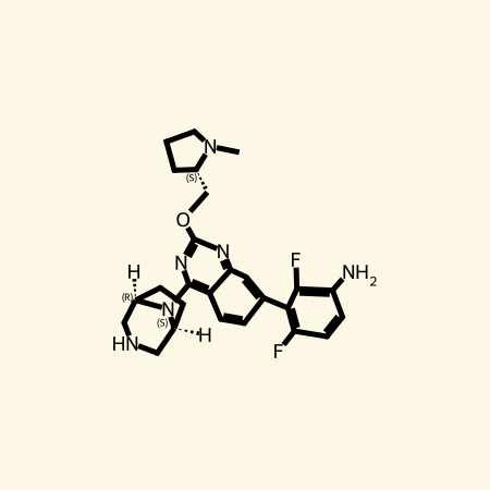 CN1CCC[C@H]1COc1nc(N2[C@@H]3CC[C@H]2CNC3)c2ccc(-c3c(F)ccc(N)c3F)cc2n1